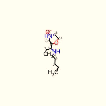 CCCCCNC(CC)C1C[NH+]([O-])CCO1